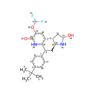 CC(C)(C)c1ccc(C(C[C@H]2CCC(O)N2)c2ccc(OC(F)F)c(=O)[nH]2)cc1